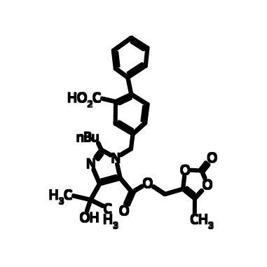 CCCCc1nc(C(C)(C)O)c(C(=O)OCc2oc(=O)oc2C)n1Cc1ccc(-c2ccccc2)c(C(=O)O)c1